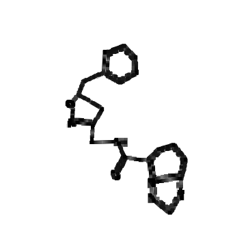 O=C(NCC1=NOC(Cc2ccccc2)C1)c1cccc2ncnn12